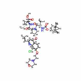 C=C(C)[C@H](NC(=O)O[C@@H]1C[C@@H]2C[C@@H]2C1)C(=O)N1C[C@H](Oc2cc(C=C(C)C)nc3c(Cl)c(OCCN4CCOCC4)ccc23)C[C@H]1C(=O)N[C@]1(C(=O)OC)C[C@H]1CC